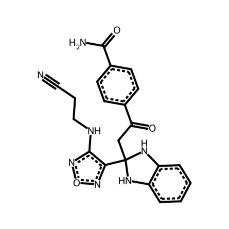 N#CCCNc1nonc1C1(CC(=O)c2ccc(C(N)=O)cc2)Nc2ccccc2N1